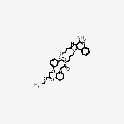 CCOC(=O)COc1cccc(CN(CCCn2c(CCOC)nc3c(N)nc4ccccc4c32)C(=O)CN2CCCCC2)c1